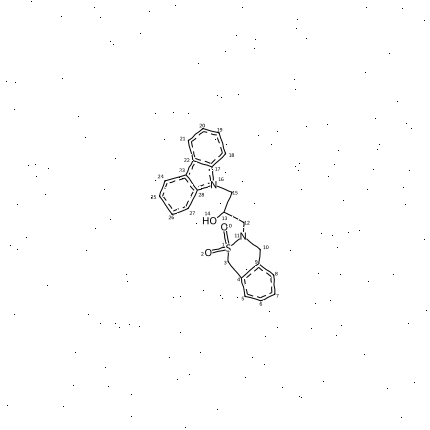 O=S1(=O)Cc2ccccc2CN1CC(O)Cn1c2ccccc2c2ccccc21